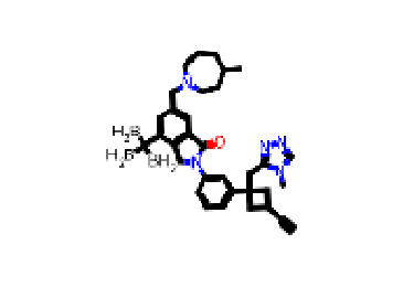 BC(B)(B)c1cc(CN2CCCC(C)CC2)cc2c1CN(c1cccc(C3(Cc4nncn4C)CC(C#C)C3)c1)C2=O